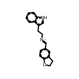 C(=N\CCc1c[nH]c2ccccc12)/c1ccc2c(c1)CCO2